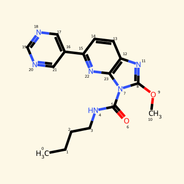 CCCCNC(=O)n1c(OC)nc2ccc(-c3cncnc3)nc21